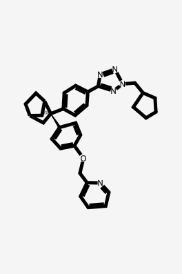 c1ccc(COc2ccc([C@@]3(c4ccc(-c5nnn(CC6CCCC6)n5)cc4)CC4CCC3C4)cc2)nc1